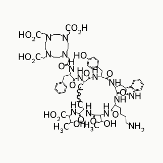 CC(O)C(NC(=O)C1CSSCC(NC(=O)C(Cc2ccccc2)NC(=O)CN2CCN(CC(=O)O)CCN(CC(=O)O)CCN(CC(=O)O)CC2)C(=O)NC(Cc2ccc(O)cc2)C(=O)NC(Cc2c[nH]c3ccccc23)C(=O)NC(CCCCN)C(=O)NC(C(C)O)C(=O)N1)C(=O)O